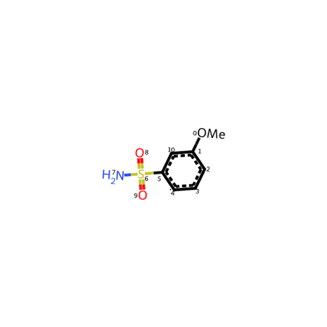 COc1cc[c]c(S(N)(=O)=O)c1